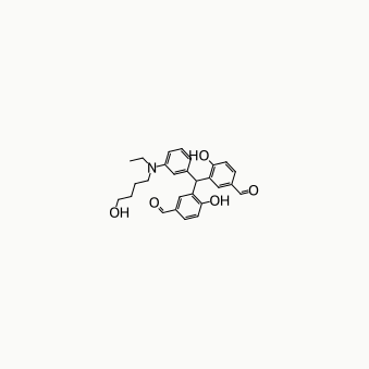 CCN(CCCCO)c1cccc(C(c2cc(C=O)ccc2O)c2cc(C=O)ccc2O)c1